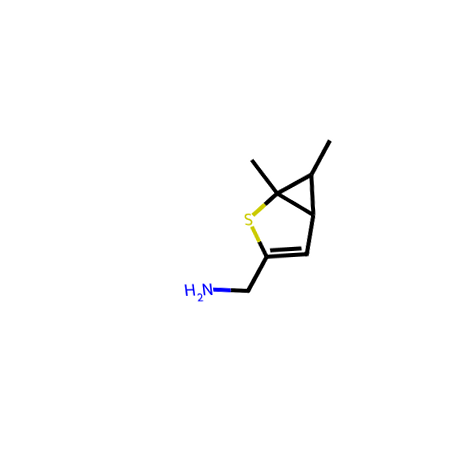 CC1C2C=C(CN)SC12C